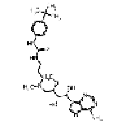 COC(CN(C)CCCNC(=O)Nc1ccc(C(C)(C)C)cc1)[C@@H](O)[C@@H](O)n1cnc2c(N)ncnc21